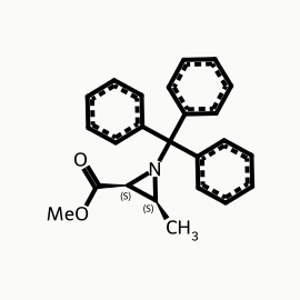 COC(=O)[C@@H]1[C@H](C)N1C(c1ccccc1)(c1ccccc1)c1ccccc1